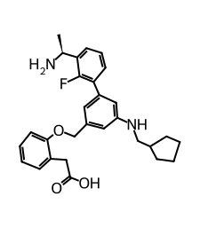 C[C@H](N)c1cccc(-c2cc(COc3ccccc3CC(=O)O)cc(NCC3CCCC3)c2)c1F